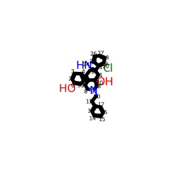 Oc1cccc(C23CCN(CCc4ccccc4)CC2(O)Cc2c([nH]c4cccc(Cl)c24)C3)c1